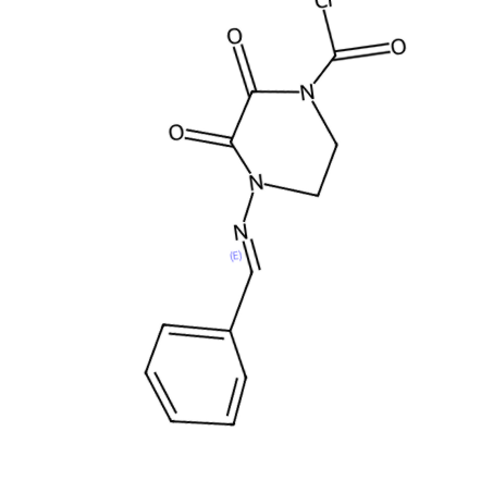 O=C1C(=O)N(C(=O)Cl)CCN1/N=C/c1ccccc1